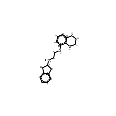 c1ccc2c(c1)CC(NCCOc1cccc3c1SCCS3)C2